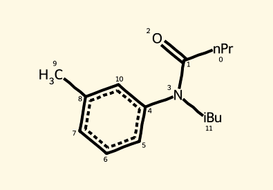 CCCC(=O)N(c1cccc(C)c1)C(C)CC